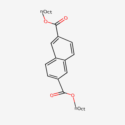 CCCCCCCCOC(=O)c1ccc2cc(C(=O)OCCCCCCCC)ccc2c1